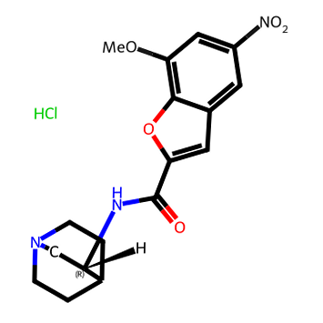 COc1cc([N+](=O)[O-])cc2cc(C(=O)N[C@H]3CN4CCC3CC4)oc12.Cl